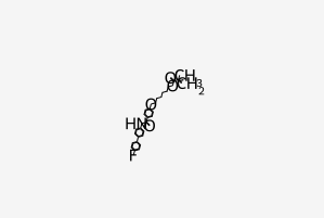 C=C(C)C(=O)OCCCCCCOc1ccc(C(=O)Nc2ccc(-c3ccc(F)cc3)cc2)cc1